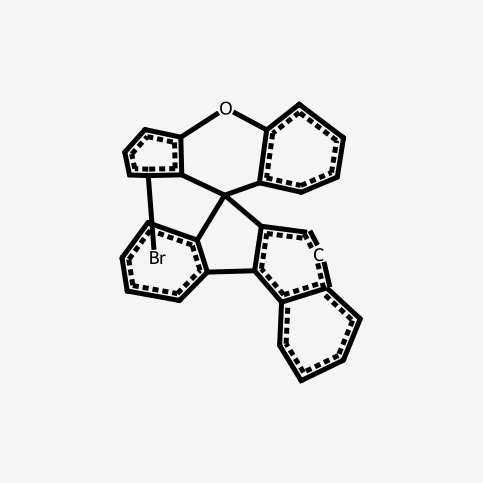 Brc1cccc2c1C1(c3ccccc3O2)c2ccccc2-c2c1ccc1ccccc21